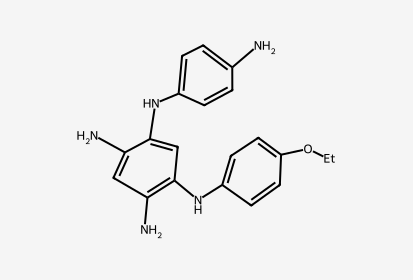 CCOc1ccc(Nc2cc(Nc3ccc(N)cc3)c(N)cc2N)cc1